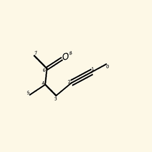 CC#CCC(C)C(C)=O